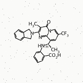 Cc1c(N2Cc3ccccc3C2)nc2c([C@@H](C)Nc3ccccc3C(=O)O)cc(C(F)(F)F)cn2c1=O